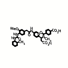 COc1cc(CC(=O)Nc2ccc(C(CC(=O)O)N(C)C(=O)c3ccc(C(=O)O)cc3)nc2)ccc1NC(=O)Nc1ccccc1C